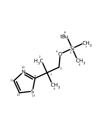 CC(C)(CO[Si](C)(C)C(C)(C)C)c1nccs1